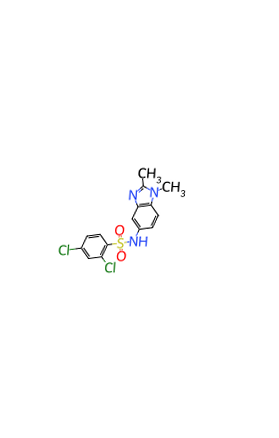 Cc1nc2cc(NS(=O)(=O)c3ccc(Cl)cc3Cl)ccc2n1C